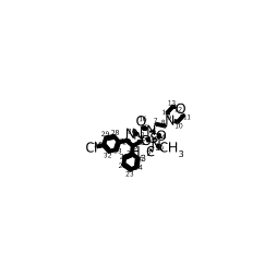 CN(C)S(=O)(=O)N(CCN1CCOCC1)C(=O)N1CC(c2ccccc2)C(c2ccc(Cl)cc2)=N1